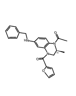 CC(=O)N1c2ccc(NCc3ccccc3)cc2N(C(=O)c2ccco2)C[C@@H]1C